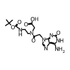 CC(C)(C)OC(=O)NCCN(CC(=O)O)C(=O)Cn1cnc2c(N)[nH]c(=O)nc21